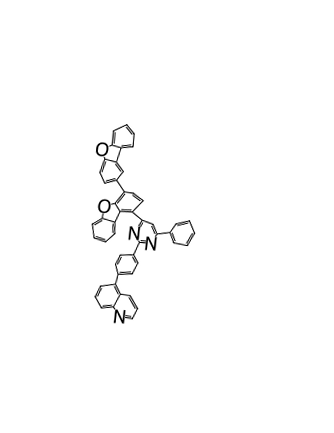 c1ccc(-c2cc(-c3ccc(-c4ccc5oc6ccccc6c5c4)c4oc5ccccc5c34)nc(-c3ccc(-c4cccc5ncccc45)cc3)n2)cc1